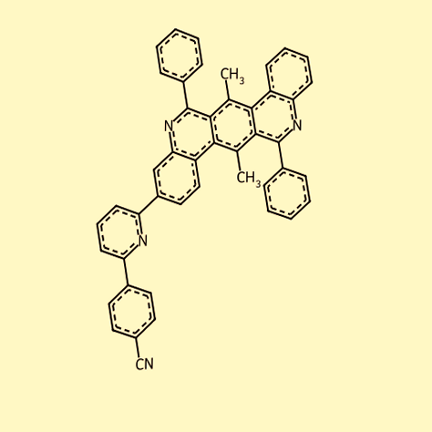 Cc1c2c(-c3ccccc3)nc3cc(-c4cccc(-c5ccc(C#N)cc5)n4)ccc3c2c(C)c2c(-c3ccccc3)nc3ccccc3c12